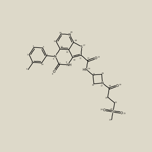 Cc1cccc(N2C(=O)Nc3c(C(=O)NC4CN(C(=O)CCS(C)(=O)=O)C4)sc4nccc2c34)c1